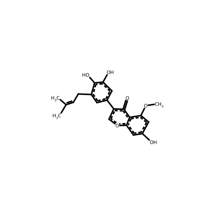 COc1cc(O)cc2occ(-c3cc(O)c(O)c(CC=C(C)C)c3)c(=O)c12